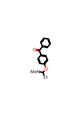 CCC(NC)Oc1ccc(C(=O)c2ccccc2)cc1